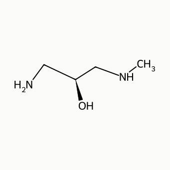 CNC[C@@H](O)CN